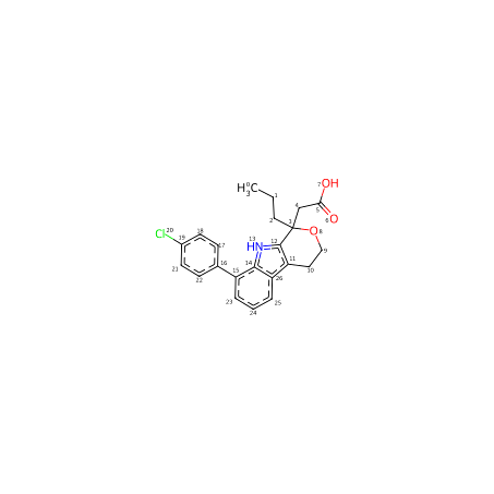 CCCC1(CC(=O)O)OCCc2c1[nH]c1c(-c3ccc(Cl)cc3)cccc21